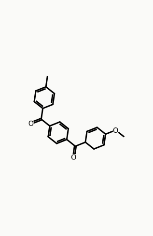 COC1=CCC(C(=O)c2ccc(C(=O)c3ccc(C)cc3)cc2)C=C1